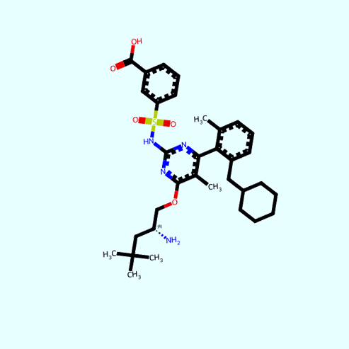 Cc1cccc(CC2CCCCC2)c1-c1nc(NS(=O)(=O)c2cccc(C(=O)O)c2)nc(OC[C@H](N)CC(C)(C)C)c1C